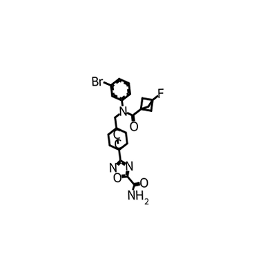 NC(=O)c1nc(C23CCC(CN(C(=O)C45CC(F)(C4)C5)c4cccc(Br)c4)(CC2)CC3)no1